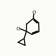 ClC1=CC=CC(Cl)(C2CC2)[CH]1